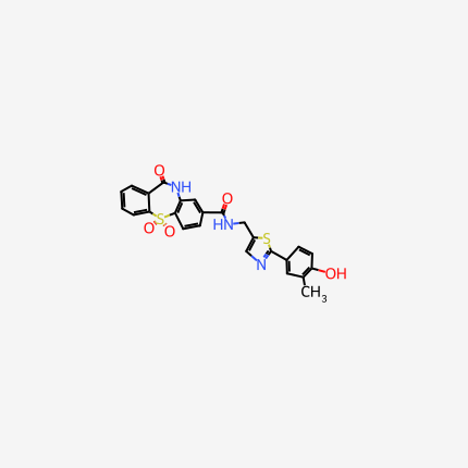 Cc1cc(-c2ncc(CNC(=O)c3ccc4c(c3)NC(=O)c3ccccc3S4(=O)=O)s2)ccc1O